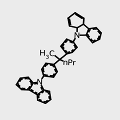 CCCC(C)(c1ccc(N2c3ccccc3C3C=CC=CC32)cc1)c1ccc(-n2c3ccccc3c3ccccc32)cc1